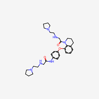 O=C(CNCCN1CCCC1)Nc1ccc(Oc2cccc3c2N(C(=O)CNCCN2CCCC2)CCC3)cc1